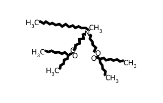 CCCCCCCCCCCCCCCCC(C)N(CCCCCCOC(=O)C(CCCCCC)CCCCCCCC)CCCCCCOC(=O)C(CCCCCC)CCCCCCCC